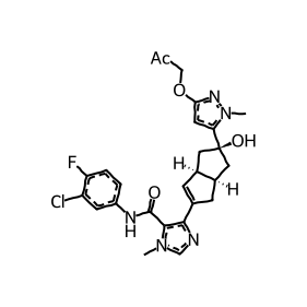 CC(=O)COc1cc([C@]2(O)C[C@H]3CC(c4ncn(C)c4C(=O)Nc4ccc(F)c(Cl)c4)=C[C@H]3C2)n(C)n1